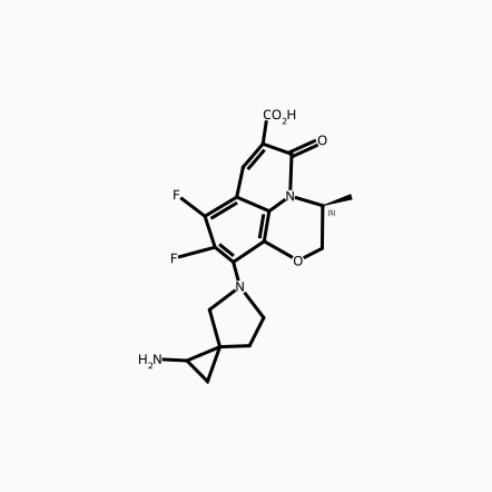 C[C@H]1COc2c(N3CCC4(CC4N)C3)c(F)c(F)c3cc(C(=O)O)c(=O)n1c23